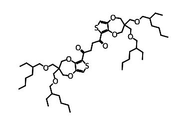 CCCCC(CC)COCC1(COCC(CC)CCCC)COc2csc(C(=O)CCC(=O)c3scc4c3OCC(COCC(CC)CCCC)(COCC(CC)CCCC)CO4)c2OC1